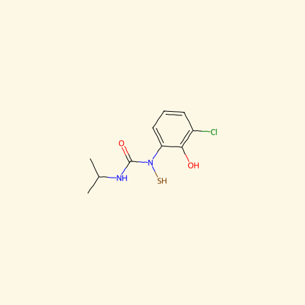 CC(C)NC(=O)N(S)c1cccc(Cl)c1O